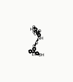 CCC(=C(c1ccc(O)cc1)c1ccc(OCCOCCCNc2ccc3c(c2)C(=O)N(C2CCC(=O)NC2=O)C3=O)cc1)c1ccccc1